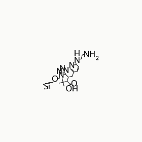 CC(C)(C)[C@H](C(=O)O)[C@H](Cc1ccc(NCCN)nc1)c1nnnn1COCC[Si](C)(C)C